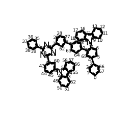 c1ccc(-c2ccc(-n3c4ccccc4c4ccccc43)c(-c3ccc(-c4cccc(-c5nc(-c6ccccc6)nc(-c6cccc(-n7c8ccccc8c8ccccc87)c6)n5)c4)cc3)c2)cc1